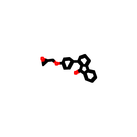 O=C1c2ccccc2-c2cccc(-c3ccc(OCC4CO4)cc3)c21